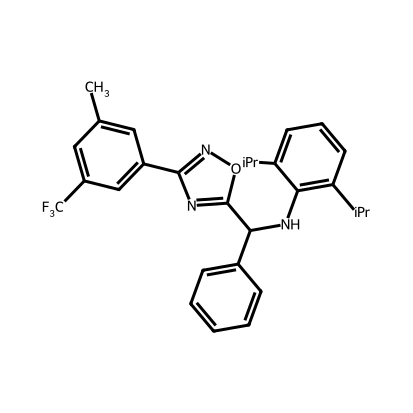 Cc1cc(-c2noc(C(Nc3c(C(C)C)cccc3C(C)C)c3ccccc3)n2)cc(C(F)(F)F)c1